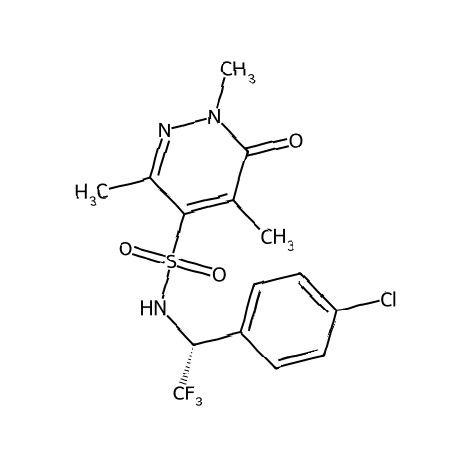 Cc1nn(C)c(=O)c(C)c1S(=O)(=O)N[C@H](c1ccc(Cl)cc1)C(F)(F)F